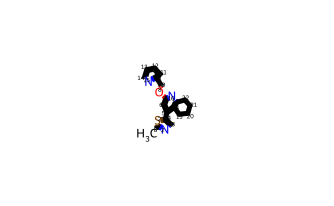 Cc1ncc(-c2cc(OCc3ccccn3)nc3c2CCCC3)s1